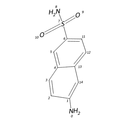 Nc1ccc2cc(S(N)(=O)=O)ccc2c1